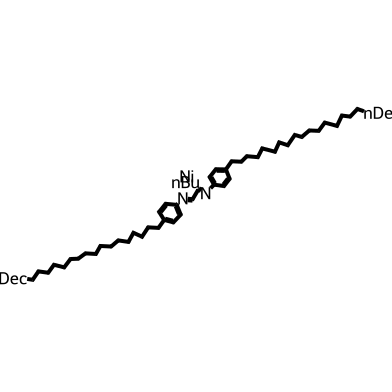 CCCCCCCCCCCCCCCCCCCCCCCCCCCc1ccc(/N=C/C(CCCC)=N/c2ccc(CCCCCCCCCCCCCCCCCCCCCCCCCCC)cc2)cc1.[Ni]